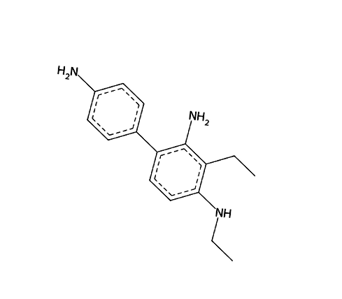 CCNc1ccc(-c2ccc(N)cc2)c(N)c1CC